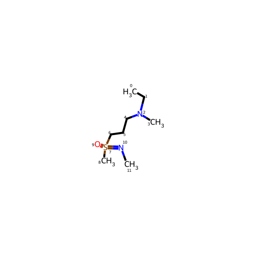 CCN(C)CCCS(C)(=O)=NC